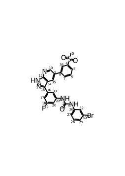 CS(=O)(=O)c1cccc(-c2cnc3[nH]nc(-c4cc(F)cc(NC(=O)Nc5cccc(Br)c5)c4)c3c2)c1